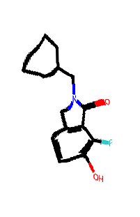 O=C1c2c(ccc(O)c2F)CN1CC1CCCCC1